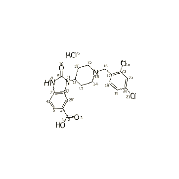 Cl.O=C(O)c1ccc2[nH]c(=O)n(C3CCN(Cc4ccc(Cl)cc4Cl)CC3)c2c1